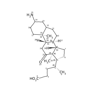 C[C@H](CCC(=O)O)[C@H]1CC[C@H]2[C@@H]3CCC4CC(N)CC[C@]4(C)[C@H]3CC(=O)[C@]12C